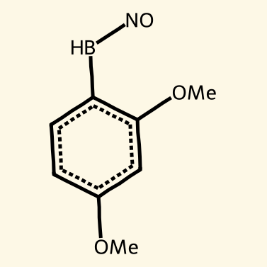 COc1ccc(BN=O)c(OC)c1